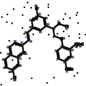 CCOC(COc1ccc(OC)cc1C(=O)O)c1cc(Br)cc(/C=C/c2ccc3ccc(Cl)cc3n2)c1